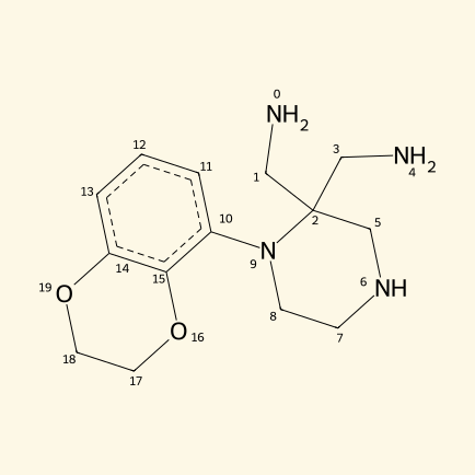 NCC1(CN)CNCCN1c1cccc2c1OCCO2